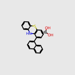 OBO.c1ccc2c(c1)Nc1c(cccc1-c1cccc3ccccc13)S2